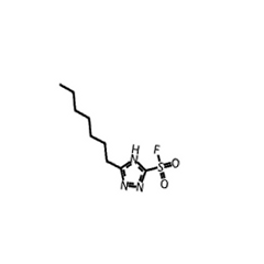 CCCCCCCc1nnc(S(=O)(=O)F)[nH]1